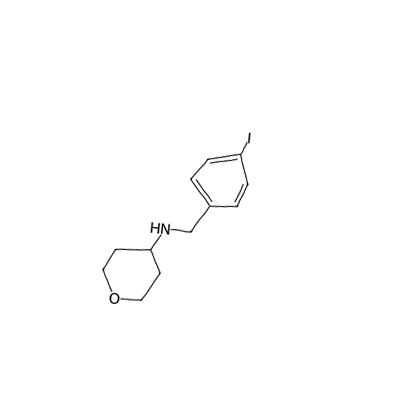 Ic1ccc(CNC2CCOCC2)cc1